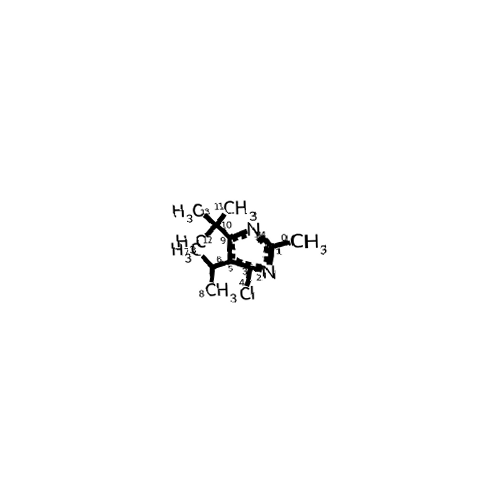 Cc1nc(Cl)c(C(C)C)c(C(C)(C)C)n1